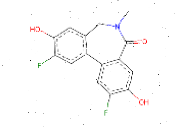 CN1Cc2cc(O)c(F)cc2-c2cc(F)c(O)cc2C1=O